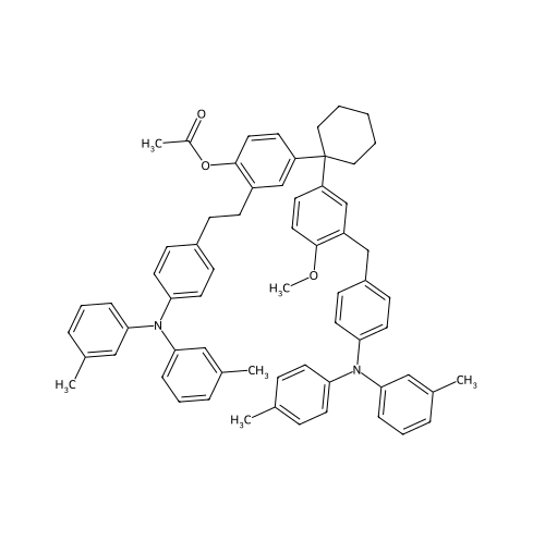 COc1ccc(C2(c3ccc(OC(C)=O)c(CCc4ccc(N(c5cccc(C)c5)c5cccc(C)c5)cc4)c3)CCCCC2)cc1Cc1ccc(N(c2ccc(C)cc2)c2cccc(C)c2)cc1